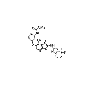 COC(=O)Nc1cc(Oc2cnc3nc(Nc4cc5n(n4)CCCC5(F)F)n(C)c3c2C#N)ccn1